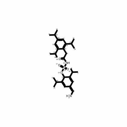 CC(C)C1=CC(=CN)C=C(C(C)C)C1OS(=O)(=O)NC(=O)Cc1c(C(C)C)cc(C(C)C)cc1C(C)C